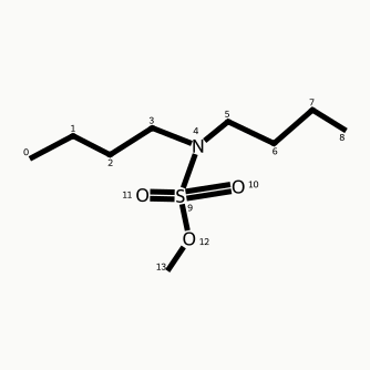 CCCCN(CCCC)S(=O)(=O)OC